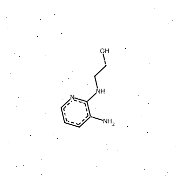 Nc1cccnc1NCCO